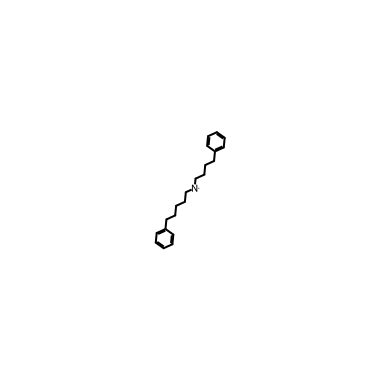 c1ccc(CCCCC[N]CCCCc2ccccc2)cc1